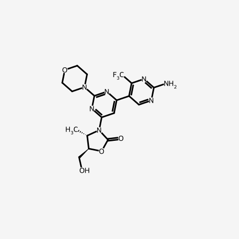 C[C@H]1[C@H](CO)OC(=O)N1c1cc(-c2cnc(N)nc2C(F)(F)F)nc(N2CCOCC2)n1